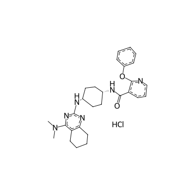 CN(C)c1nc(N[C@H]2CC[C@@H](NC(=O)c3cccnc3Oc3ccccc3)CC2)nc2c1CCCC2.Cl